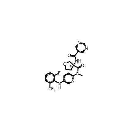 CN(C(=O)[C@]1(NC(=O)c2cncnc2)CCOC1)c1ccc(Nc2c(F)cccc2C(F)(F)F)cn1